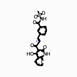 CS(=O)(=O)NC(=O)c1cccc(/C=C/C(=O)c2c(O)c3ccccc3[nH]c2=O)c1